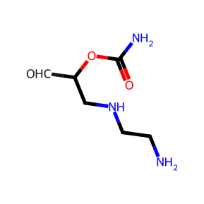 NCCNCC(C=O)OC(N)=O